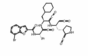 CC(C)[C@H](NC(=O)c1cc2cccc(Br)c2o1)C(=C=O)N[C@@H](CC1CCCCC1)C(=C=O)N[C@H](C=C=O)C[C@@H]1CCNC1=C=O